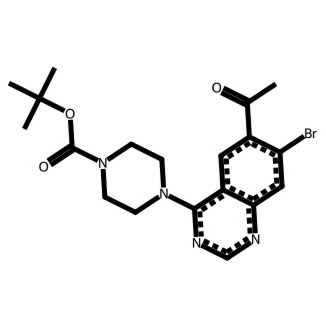 CC(=O)c1cc2c(N3CCN(C(=O)OC(C)(C)C)CC3)ncnc2cc1Br